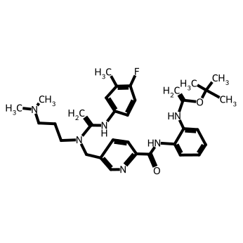 C=C(Nc1ccccc1NC(=O)c1ccc(CN(CCCN(C)C)C(=C)Nc2ccc(F)c(C)c2)cn1)OC(C)(C)C